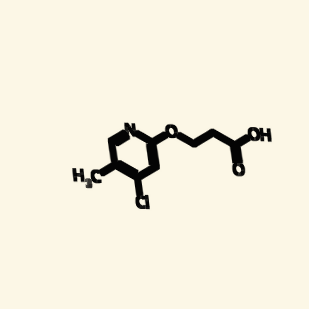 Cc1cnc(OCCC(=O)O)cc1Cl